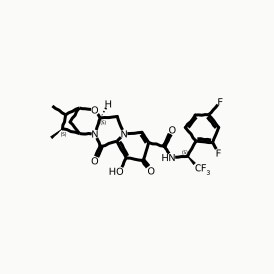 CC1C2CC([C@H]1C)N1C(=O)c3c(O)c(=O)c(C(=O)N[C@@H](c4ccc(F)cc4F)C(F)(F)F)cn3C[C@@H]1O2